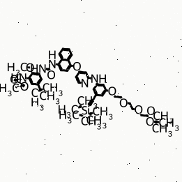 COc1c(NC(=O)Nc2ccc(Oc3ccnc(Nc4cc(C#C[Si](C(C)C)(C(C)C)C(C)C)cc(OCCOCCOCC(=O)OC(C)(C)C)c4)c3)c3ccccc23)cc(C(C)(C)C)cc1NS(C)(=O)=O